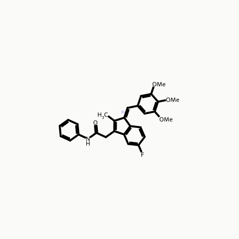 COc1cc(/C=C2/C(C)=C(CC(=O)Nc3ccccc3)c3cc(F)ccc32)cc(OC)c1OC